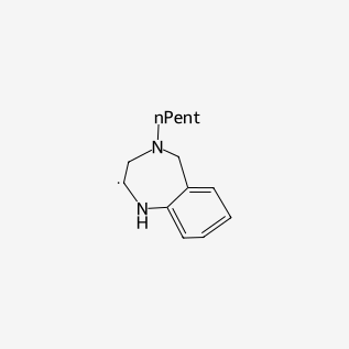 CCCCCN1C[CH]Nc2ccccc2C1